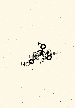 COc1cccc(O)c1C(=O)NCC1(c2cccc(F)c2)CCN(S(=O)(=O)NCc2ccc(O)cc2)CC1